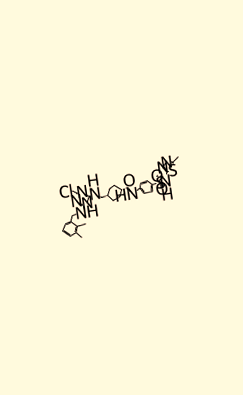 Cc1nnc(NS(=O)(=O)c2ccc(NC(=O)[C@H]3CC[C@H](CNc4nc(Cl)nc(NCc5cccc(C)c5C)n4)CC3)cc2)s1